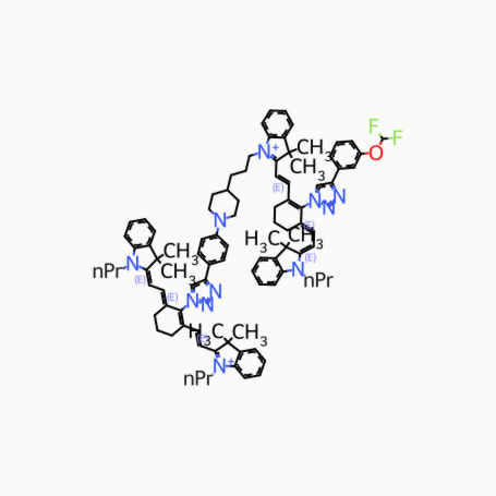 CCCN1/C(=C/C=C2\CCCC(/C=C/C3=[N+](CCC)c4ccccc4C3(C)C)=C2n2cc(-c3ccc(N4CCC(CCC[N+]5=C(/C=C/C6=C(n7cc(-c8cccc(OC(F)F)c8)nn7)C(=C/C=C7/N(CCC)c8ccccc8C7(C)C)/CCC6)C(C)(C)c6ccccc65)CC4)cc3)nn2)C(C)(C)c2ccccc21